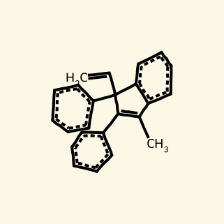 C=CC1(c2ccccc2)C(c2ccccc2)=C(C)c2ccccc21